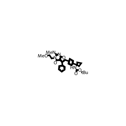 CNc1nc2oc(-c3ccc(C4(NC(=O)OC(C)(C)C)CCC4)cc3)c(-c3ccccc3)c2c(=O)n1CCOC